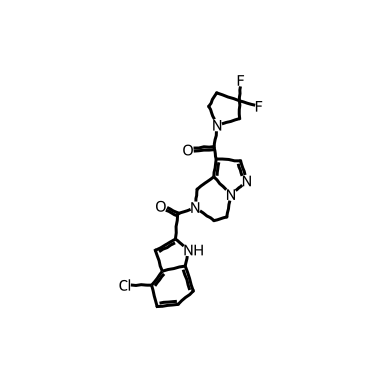 O=C(c1cc2c(Cl)cccc2[nH]1)N1CCn2ncc(C(=O)N3CCC(F)(F)C3)c2C1